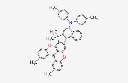 Cc1ccc(N(c2ccc(C)cc2)c2cc3c(c4ccccc24)-c2cc4c5c(c2C3(C)C)Oc2ccc(C)cc2B5c2cc(C)ccc2O4)cc1